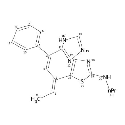 C/C=C(\C=C(\c1ccccc1)c1nnc[nH]1)c1cnc(NCCC)s1